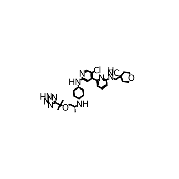 C[C@@H](COC(C)(C)c1nn[nH]n1)N[C@H]1CC[C@H](Nc2cc(-c3cccc(NCC4(C#N)CCOCC4)n3)c(Cl)cn2)CC1